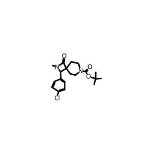 CN1C(=O)C2(CCN(C(=O)OC(C)(C)C)CC2)C1c1ccc(Cl)cc1